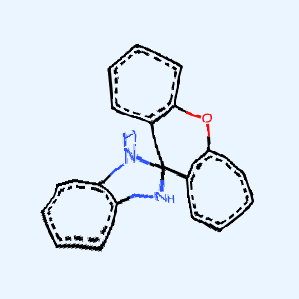 c1ccc2c(c1)NC1(N2)c2ccccc2Oc2ccccc21